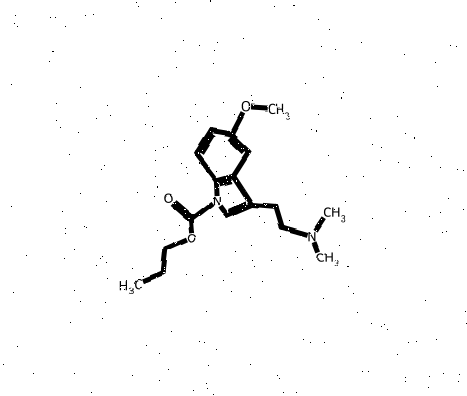 CCCOC(=O)n1cc(CCN(C)C)c2cc(OC)ccc21